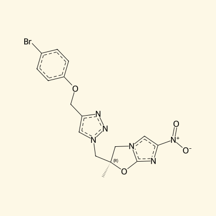 C[C@]1(Cn2cc(COc3ccc(Br)cc3)nn2)Cn2cc([N+](=O)[O-])nc2O1